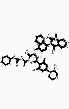 Cc1cc(N2CCOC[C@@H]2C(F)(F)F)cc(F)c1C(=O)N[C@@H](Cc1ccc(-n2c(=O)c3ccncc3n(C)c2=O)c2ncccc12)C(=O)OC(C)OC(=O)OC1CCCCC1